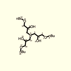 CCCCOCC(O)CN(CC(O)COCCCC)CC(O)COCCCC